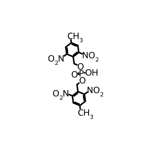 Cc1cc([N+](=O)[O-])c(COP(=O)(O)OCc2c([N+](=O)[O-])cc(C)cc2[N+](=O)[O-])c([N+](=O)[O-])c1